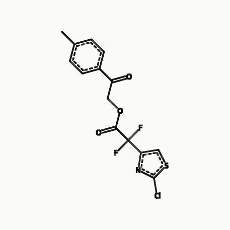 Cc1ccc(C(=O)COC(=O)C(F)(F)c2csc(Cl)n2)cc1